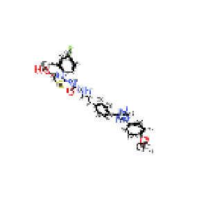 CC(C)c1cc(F)ccc1N1/C(=N/C(=O)NCCCc2ccc(-c3ncn(-c4ccc(OC(F)(F)F)cc4)n3)cc2)SCC1O